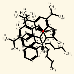 CCC[CH2][Hf](=[SiH2])([CH2]CCC)([c]1ccccc1)([c]1ccccc1)([CH]1C(C)=Cc2c(C(C)C)cc(C(C)C)cc21)[CH]1C(C)=Cc2c(C(C)C)cc(C(C)C)cc21